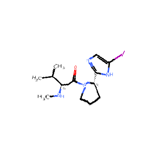 CN[C@H](C(=O)N1CCC[C@H]1c1ncc(I)[nH]1)C(C)C